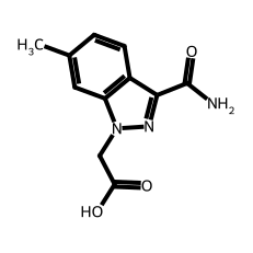 Cc1ccc2c(C(N)=O)nn(CC(=O)O)c2c1